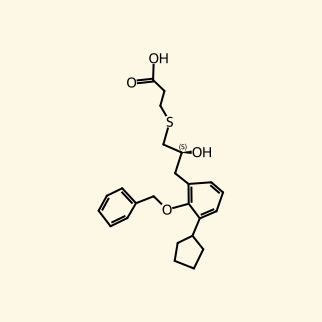 O=C(O)CCSC[C@@H](O)Cc1cccc(C2CCCC2)c1OCc1ccccc1